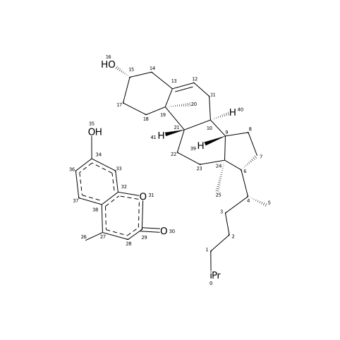 CC(C)CCC[C@@H](C)[C@H]1CC[C@H]2[C@@H]3CC=C4C[C@@H](O)CC[C@]4(C)[C@H]3CC[C@]12C.Cc1cc(=O)oc2cc(O)ccc12